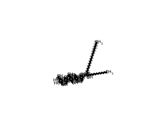 CCCCCCCCCCCCC/C=C/[C@@H](O)[C@H](CO[C@@H]1OC(CO)[C@@H](O[C@@H]2OC(CO)[C@H](O[C@@H]3OC(CO)[C@H](O)[C@H](O[C@@H]4OC(CO)[C@H](O)[C@H](O[C@@H]5OC(CO)[C@@H](O)[C@H](O)C5NC(C)=O)C4O)C3NC(C)=O)[C@H](O)C2O)[C@H](O)C1O)NC(=O)CCCCCCCCCCCCCCCCCCCCCCCCC